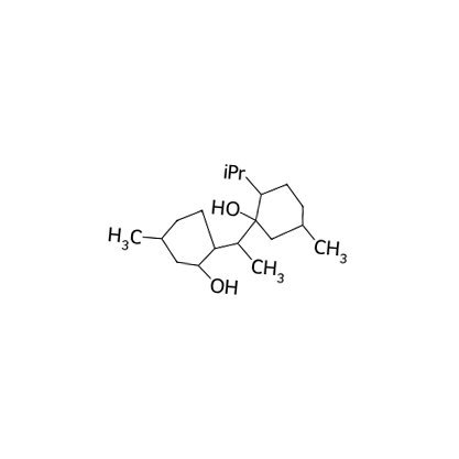 CC1CCC(C(C)C2(O)CC(C)CCC2C(C)C)C(O)C1